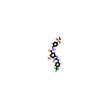 CCS(=O)(=O)c1ccc(CNC(=O)c2cc(OC)c3c(c2)nc(Cc2ccc(C(F)(F)F)cc2)n3C)cc1